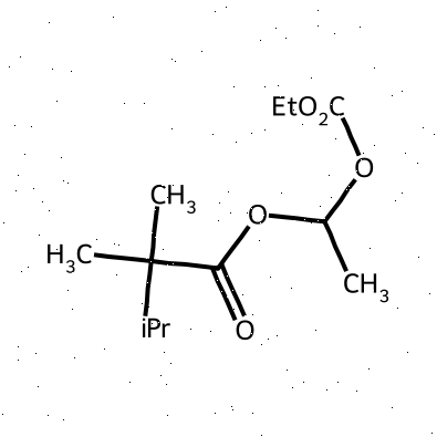 CCOC(=O)OC(C)OC(=O)C(C)(C)C(C)C